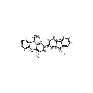 CC1c2ccccc2Oc2c(Cl)cc(-c3ccc4c5ccccc5n(C)c4c3)cc21